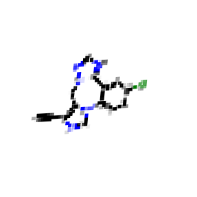 C#Cc1ncn2c1Cn1ncnc1-c1cc(Cl)ccc1-2